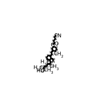 C=C1CC[C@H](OC(=O)CCCC#N)C/C1=C/C=C1\CCC[C@@]2(C)C1CC[C@@H]2[C@H](C)CCCC(C)(C)O